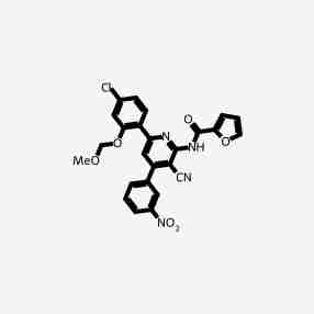 COCOc1cc(Cl)ccc1-c1cc(-c2cccc([N+](=O)[O-])c2)c(C#N)c(NC(=O)c2ccco2)n1